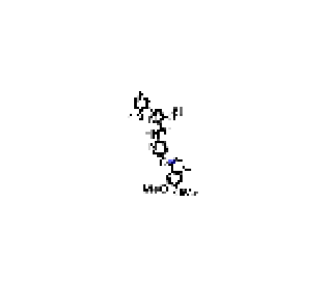 C=Nc1cc(OC)c(OC)cc1/C(=C\C)Oc1ccc(NC(=O)c2nn(-c3cnccc3C#N)cc2OCC)nc1